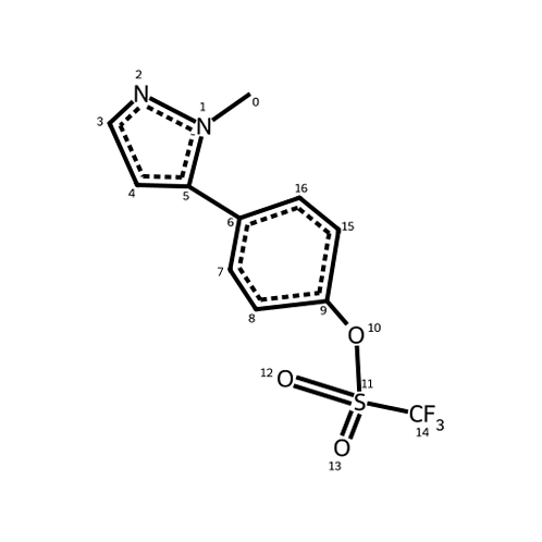 Cn1nccc1-c1ccc(OS(=O)(=O)C(F)(F)F)cc1